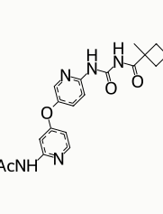 CC(=O)Nc1cc(Oc2ccc(NC(=O)NC(=O)C3(C)CCC3)nc2)ccn1